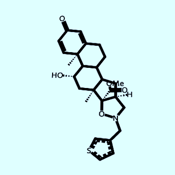 COC(=O)[C@@]12ON(Cc3ccsc3)C[C@@H]1CC1C3CCC4=CC(=O)C=C[C@]4(C)C3[C@@H](O)C[C@@]12C